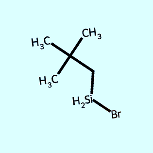 CC(C)(C)C[SiH2]Br